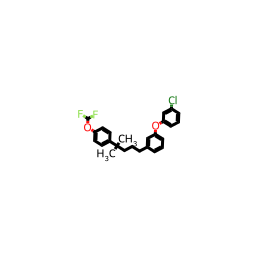 CC(C)(CCCc1cccc(Oc2cccc(Cl)c2)c1)c1ccc(OC(F)F)cc1